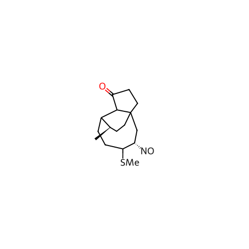 CSC1CCC2C3C(=O)CCC3(CC[C@H]2C)C[C@@H]1N=O